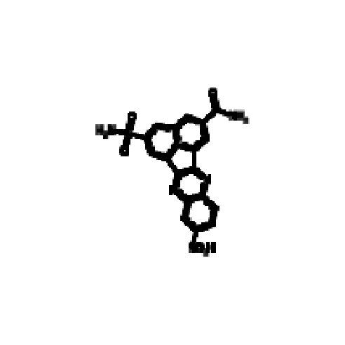 NC(=O)c1cc2c3c(cc(S(N)(=O)=O)cc3c1)-c1nc3cc(S(=O)(=O)O)ccc3nc1-2